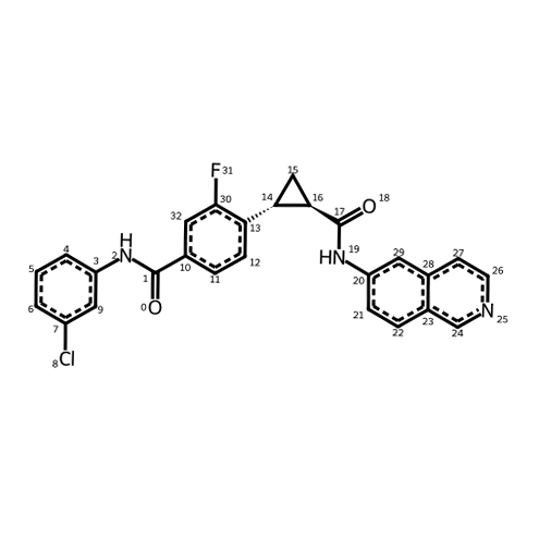 O=C(Nc1cccc(Cl)c1)c1ccc([C@@H]2C[C@H]2C(=O)Nc2ccc3cnccc3c2)c(F)c1